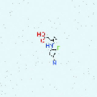 N#Cc1ccc(NCC2(CCC(=O)O)CC2)c(F)c1